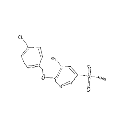 CNS(=O)(=O)c1cnc(Oc2ccc(Cl)cc2)c(C(C)C)c1